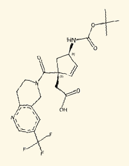 CC(C)(C)OC(=O)N[C@H]1C=C[C@](CC(=O)O)(C(=O)N2CCc3ncc(C(F)(F)F)cc3C2)C1